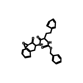 O=C(NC(CCc1ccccc1)C(=O)NC(Cc1ccccc1)C(=O)[C@H]1CO1)OCc1ccccc1